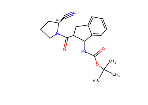 CC(C)(C)OC(=O)NC1c2ccccc2CC1C(=O)N1CCC[C@H]1C#N